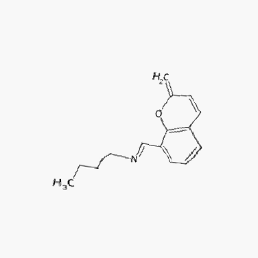 C=C1C=Cc2cccc(/C=N/CCCC)c2O1